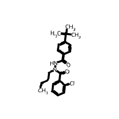 CCCCN(NC(=O)c1ccc(C(C)(C)C)cc1)C(=O)c1ccccc1Cl